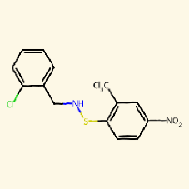 O=[N+]([O-])c1ccc(SNCc2ccccc2Cl)c(C(Cl)(Cl)Cl)c1